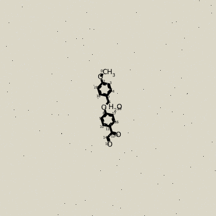 COc1ccc(COc2ccc(C(=O)C=O)cc2)cc1.O